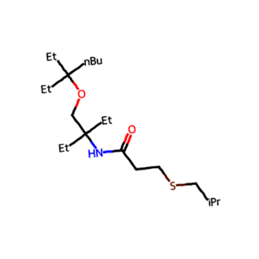 CCCCC(CC)(CC)OCC(CC)(CC)NC(=O)CCSCC(C)C